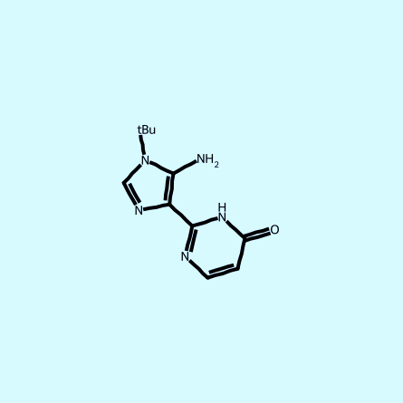 CC(C)(C)n1cnc(-c2nccc(=O)[nH]2)c1N